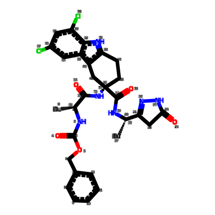 CCC(C)[C@H](NC(=O)OCc1ccccc1)C(=O)N[C@@]1(C(=O)N[C@H](C2=NNC(=O)C2)C(C)CC)CCc2[nH]c3c(Cl)cc(Cl)cc3c2C1